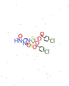 CC(=O)Nc1ccn([C@@H]2S[C@H](COC(=O)c3ccc(Cl)cc3)[C@@H](OC(=O)c3ccc(Cl)cc3)[C@@H]2F)c(=O)n1